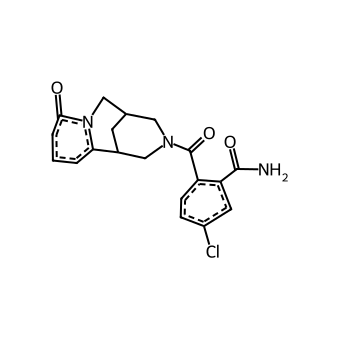 NC(=O)c1cc(Cl)ccc1C(=O)N1CC2CC(C1)c1cccc(=O)n1C2